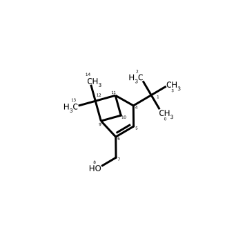 CC(C)(C)C1C=C(CO)C2CC1C2(C)C